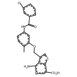 CCOC(=O)c1cnc(N)c2c(COc3cc(NC(=O)c4cccc(Cl)c4)ccc3C)csc12